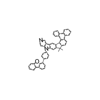 CC1(C)c2cc3c(cc2-c2c1ccc1c4ccccc4c4ccccc4c21)c1cnccc1n3-c1ccc(-c2cccc3c2oc2ccccc23)cc1